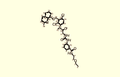 CCOCCNC(=O)c1cccc(NC(=O)NCC(=O)N(C)c2ccc(Cl)c(COc3cccc4ccc(C)nc34)c2Cl)c1